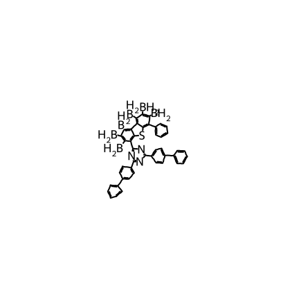 Bc1c(B)c(B)c2c(sc3c(-c4nc(-c5ccc(-c6ccccc6)cc5)nc(-c5ccc(-c6ccccc6)cc5)n4)c(B)c(B)c(B)c32)c1-c1ccccc1